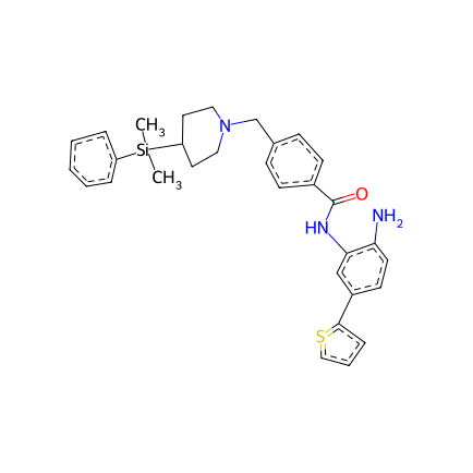 C[Si](C)(c1ccccc1)C1CCN(Cc2ccc(C(=O)Nc3cc(-c4cccs4)ccc3N)cc2)CC1